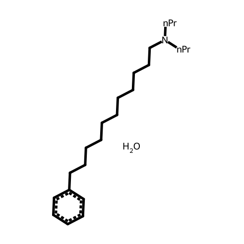 CCCN(CCC)CCCCCCCCCCCc1ccccc1.O